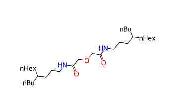 CCCCCCC(CCCC)CCCNC(=O)COCC(=O)NCCCC(CCCC)CCCCCC